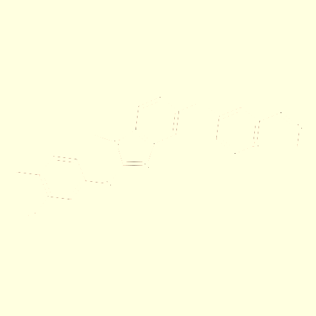 Cn1c(Nc2ccc(Cl)c(Cl)c2)nc2cc(Oc3ccnc(/C=N\O)c3)ccc21